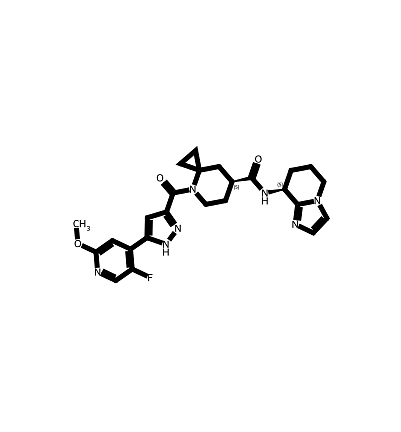 COc1cc(-c2cc(C(=O)N3CC[C@H](C(=O)N[C@H]4CCCn5ccnc54)CC34CC4)n[nH]2)c(F)cn1